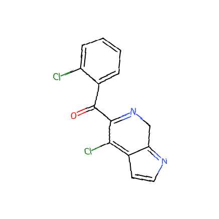 O=C(C1=NCC2=NC=CC2=C1Cl)c1ccccc1Cl